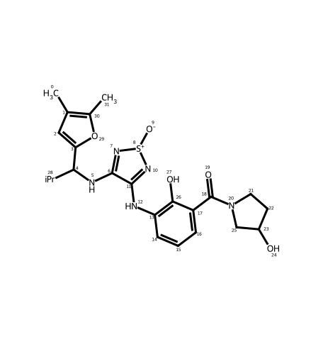 Cc1cc(C(Nc2n[s+]([O-])nc2Nc2cccc(C(=O)N3CCC(O)C3)c2O)C(C)C)oc1C